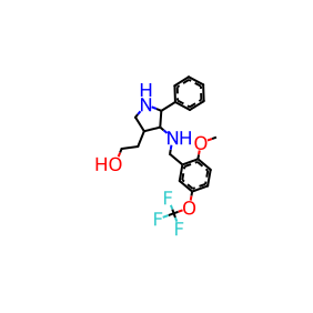 COc1ccc(OC(F)(F)F)cc1CNC1C(CCO)CNC1c1ccccc1